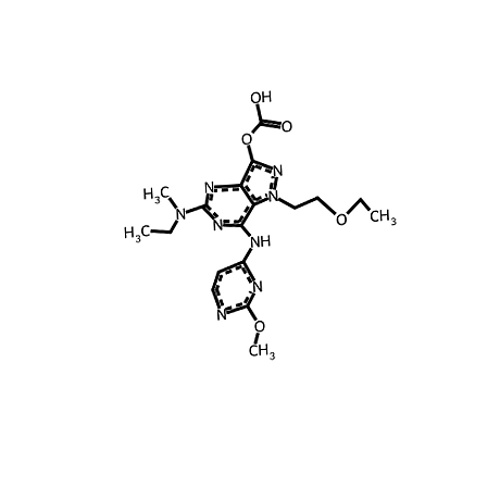 CCOCCn1nc(OC(=O)O)c2nc(N(C)CC)nc(Nc3ccnc(OC)n3)c21